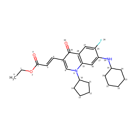 CCOC(=O)/C=C/c1cn(C2CCCC2)c2cc(NC3CCCCC3)c(F)cc2c1=O